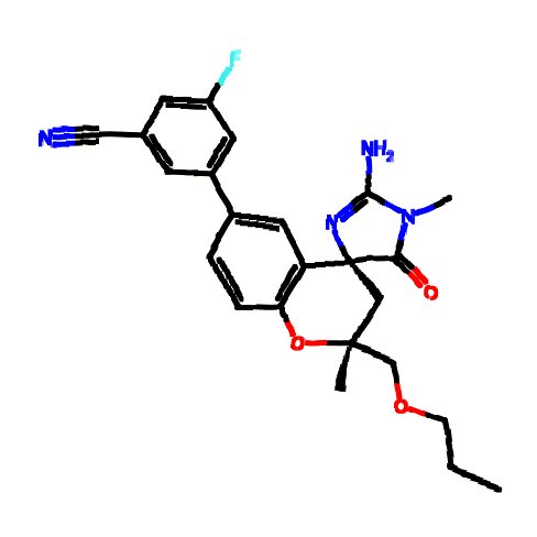 CCCOC[C@@]1(C)C[C@]2(N=C(N)N(C)C2=O)c2cc(-c3cc(F)cc(C#N)c3)ccc2O1